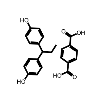 CCC(c1ccc(O)cc1)c1ccc(O)cc1.O=C(O)c1ccc(C(=O)O)cc1